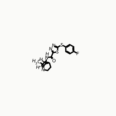 C[C@H]1[C@H](NC(=O)c2nnc(Sc3ccc(F)cc3)s2)C2CCN1CC2